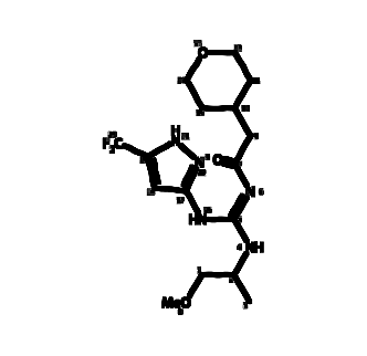 COCC(C)N/C(=N/C(=O)CC1CCOCC1)Nc1cc(C(F)(F)F)[nH]n1